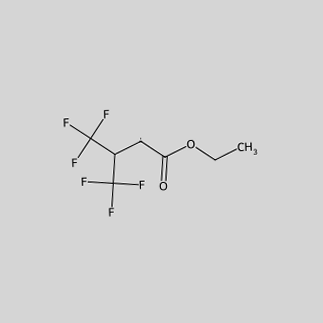 CCOC(=O)[CH]C(C(F)(F)F)C(F)(F)F